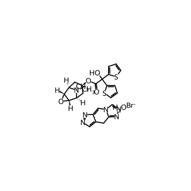 C1=C2Cc3nncn3C=C2N=N1.C[N+]1(C)[C@@H]2C[C@@H](OC(=O)C(O)(c3cccs3)c3cccs3)C[C@H]1[C@@H]1O[C@@H]12.O.[Br-]